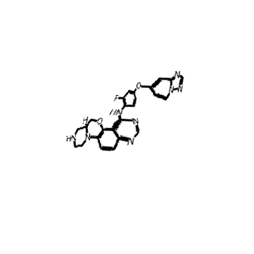 Fc1cc(Oc2ccn3ncnc3c2)ccc1Nc1ncnc2ccc3c(c12)OC[C@H]1CNCCN31